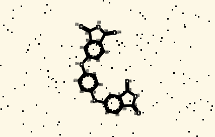 O=C1OC(=O)c2cc(Oc3ccc(Oc4ccc5c(c4)C(=O)OC5=O)cc3)ccc21